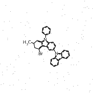 CC1C=c2c(c3cc(-n4c5ccccc5c5ccccc54)ccc3n2-c2ccccc2)=C(Br)C1